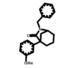 COc1cccc(C23CCCC(C2)N(Cc2ccccc2)C3=O)c1